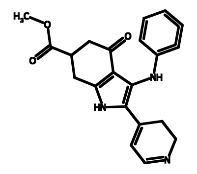 COC(=O)C1CC(=O)c2c([nH]c(C3=CC=NCC3)c2NC2=C=C=CC=C2)C1